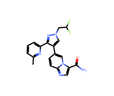 Cc1cccc(-c2nn(CC(F)F)cc2-c2ccc3ncc(C(N)=O)n3c2)n1